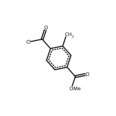 COC(=O)c1ccc(C(=O)Cl)c(C)c1